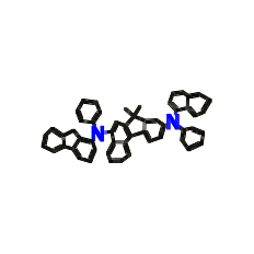 CC1(C)c2cc(N(c3ccccc3)c3cccc4ccccc34)ccc2-c2c1cc(N(c1ccccc1)c1cccc3c1Cc1ccccc1-3)c1ccccc21